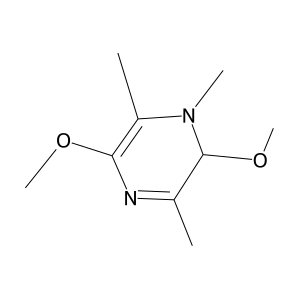 COC1=C(C)N(C)C(OC)C(C)=N1